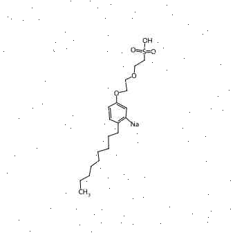 CCCCCCCCCc1ccc(OCCOCCS(=O)(=O)O)c[c]1[Na]